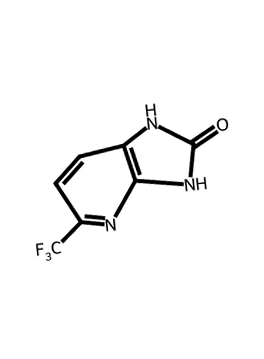 O=c1[nH]c2ccc(C(F)(F)F)nc2[nH]1